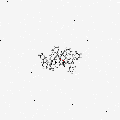 N#Cc1cc(-n2c3ccccc3c3cc(-n4c5ccccc5c5ccccc54)c4c5ccccc5n(-c5ccccc5)c4c32)c2oc3ccccc3c2c1-c1nc(-c2ccccc2)nc(-c2ccccc2)n1